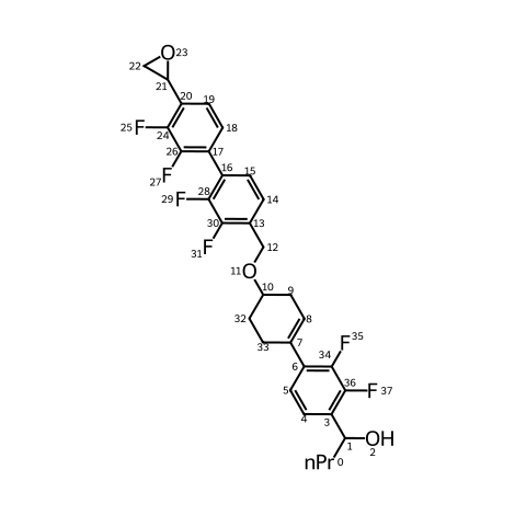 CCCC(O)c1ccc(C2=CCC(OCc3ccc(-c4ccc(C5CO5)c(F)c4F)c(F)c3F)CC2)c(F)c1F